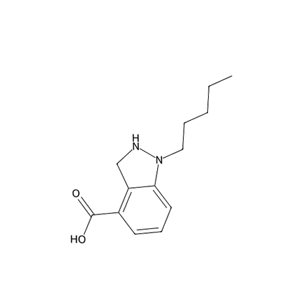 CCCCCN1NCc2c(C(=O)O)cccc21